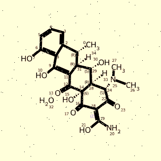 C[C@H]1c2cccc(O)c2C(O)=C2C(=O)[C@]3(O)C(=O)/C(=C(/N)O)C(=O)[C@@H](N(C)C)[C@@H]3[C@@H](O)[C@@H]21.O